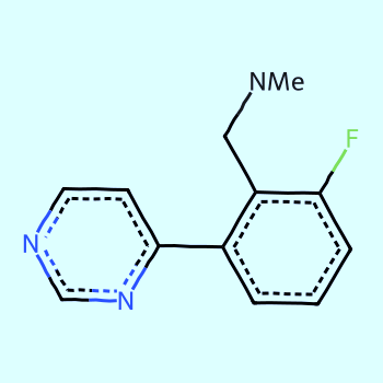 CNCc1c(F)cccc1-c1ccncn1